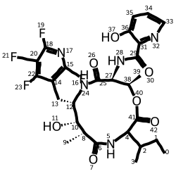 CCC(C)C1NC(=O)[C@H](C)[C@H](O)[C@H](Cc2c(F)nc(F)c(F)c2F)NC(=O)[C@@H](NC(=O)c2ncccc2O)[C@@H](C)OC1=O